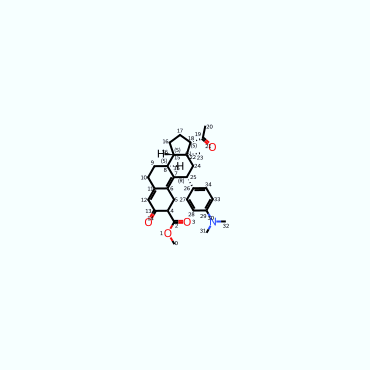 COC(=O)C1CC2=C3[C@@H](CCC2=CC1=O)[C@@H]1CC[C@H](C(C)=O)[C@@]1(C)C[C@@H]3c1ccc(N(C)C)cc1